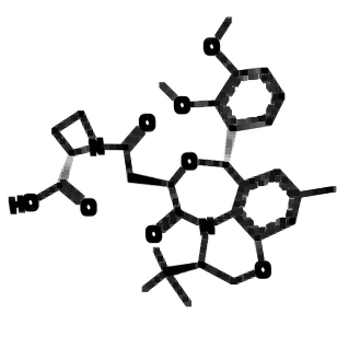 COc1cccc([C@H]2O[C@H](CC(=O)N3CC[C@H]3C(=O)O)C(=O)N3c4c(cc(C)cc42)OC[C@H]3C(C)(C)C)c1OC